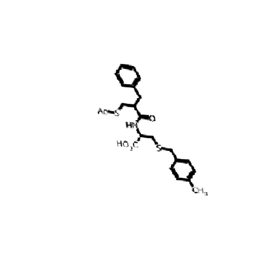 CC(=O)SCC(Cc1ccccc1)C(=O)N[C@@H](CSCc1ccc(C)cc1)C(=O)O